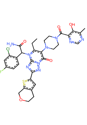 CCc1c(N2CCN(C(=O)c3ncnc(C)c3O)CC2)c(=O)n2nc(-c3cc4c(s3)COCC4)nc2n1C(C(N)=O)c1ccc(F)cc1Cl